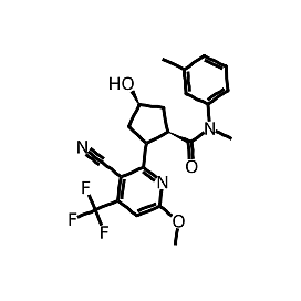 COc1cc(C(F)(F)F)c(C#N)c(C2C[C@@H](O)C[C@H]2C(=O)N(C)c2cccc(C)c2)n1